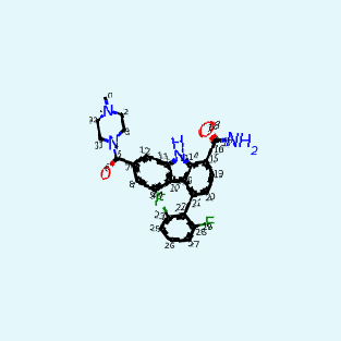 CN1CCN(C(=O)c2ccc3c(c2)[nH]c2c(C(N)=O)ccc(-c4c(F)cccc4F)c23)CC1